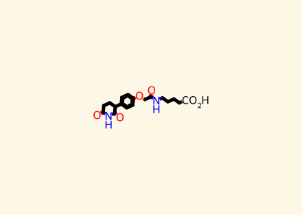 O=C(O)CCCCNC(=O)COc1ccc(C2CCC(=O)NC2=O)cc1